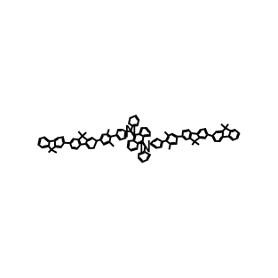 Cc1cc(-c2ccc3c(c2)C(C)(C)c2cc(-c4ccc5c(c4)C(C)(C)c4ccccc4-5)ccc2-3)cc(C)c1-c1ccc(N(c2ccccc2)c2c3ccccc3c(N(C3=CC=CCC3)c3ccc(-c4c(C)cc(C5C=C6C(=CC5)c5ccc(-c7ccc8c(c7)C(C)(C)c7ccccc7-8)cc5C6(C)C)cc4C)cc3)c3ccccc23)cc1